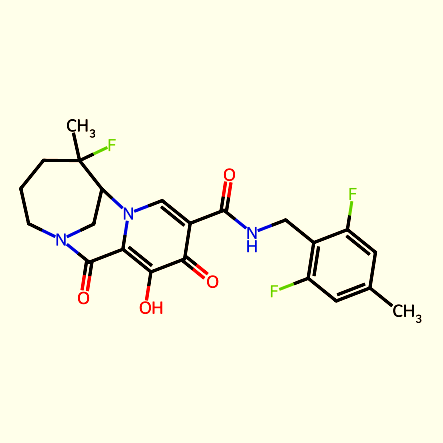 Cc1cc(F)c(CNC(=O)c2cn3c(c(O)c2=O)C(=O)N2CCCC(C)(F)C3C2)c(F)c1